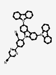 N#Cc1cnc(-c2ccc(-n3c4ccc(-n5c6ccccc6c6ccccc65)cc4c4cc(-n5c6ccccc6c6ccccc65)ccc43)c(C#N)c2)nc1